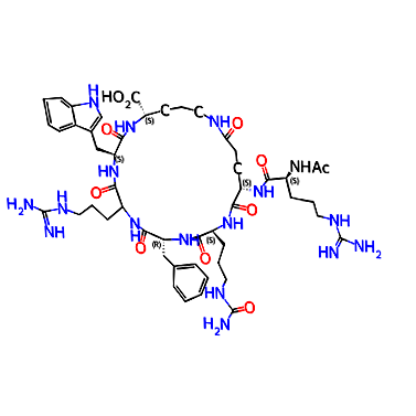 CC(=O)N[C@@H](CCCNC(=N)N)C(=O)N[C@H]1CCC(=O)NCCC[C@@H](C(=O)O)NC(=O)[C@H](Cc2c[nH]c3ccccc23)NC(=O)C(CCCNC(=N)N)NC(=O)[C@@H](Cc2ccccc2)NC(=O)[C@H](CCCNC(N)=O)NC1=O